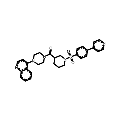 O=C(C1CCCN(S(=O)(=O)c2ccc(-c3ccncc3)cc2)C1)N1CCN(c2ccnc3ccccc23)CC1